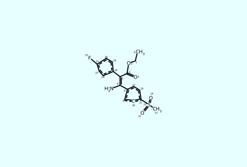 CCOC(=O)C(=C(N)c1ccc(S(C)(=O)=O)cc1)c1ccc(F)cc1